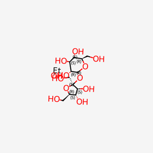 CCO.OC[C@H]1O[C@@](CO)(O[C@H]2O[C@H](CO)[C@@H](O)[C@H](O)[C@H]2O)[C@@H](O)[C@@H]1O